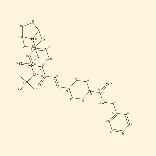 CC(C)(C)OC(=O)NC1CC2CCC(C1)N2c1ccc(C(=O)/C=C/C2CCN(C(=O)OCc3ccccc3)CC2)cn1